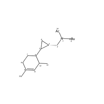 CCCCN(C[C@H]1CC1C1CCC(C)=CC1C)C(C)=O